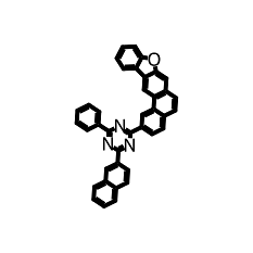 c1ccc(-c2nc(-c3ccc4ccccc4c3)nc(-c3ccc4ccc5cc6oc7ccccc7c6cc5c4c3)n2)cc1